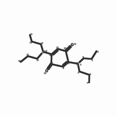 CCCN(CCC)C1=CC(=O)C(N(CCC)CCC)=CC1=O